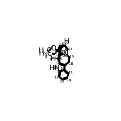 CC[C@@]1(OC)C[C@@H]2C[C@H]3c4[nH]c5ccccc5c4CCN(C2)[C@H]31